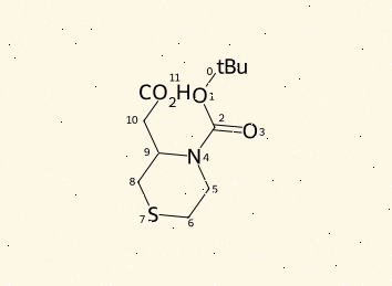 CC(C)(C)OC(=O)N1CCSCC1CC(=O)O